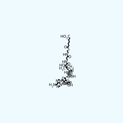 CC(C)(COP(=O)(O)OP(=O)(O)OC[C@H]1O[C@@H](n2cnc3c(N)ncnc32)[C@H](O)[C@@H]1OP(=O)(O)O)[C@@H](O)C(=O)NCCC(=O)NCCSC(=O)CCCCCC(=O)O